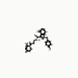 O=C(NCCc1nnc2ccccn12)c1nn(Cc2ccc(Cl)cc2)c2cccc(F)c12